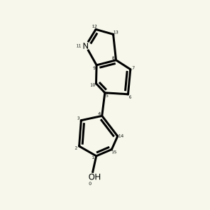 Oc1ccc(-c2ccc3c(c2)N=CC3)cc1